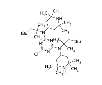 CC(C)(C)CC(C)(C)N(c1nc(Cl)nc(N(C2CC(C)(C)NC(C)(C)C2)C(C)(C)CC(C)(C)C)n1)C1CC(C)(C)NC(C)(C)C1